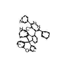 Cc1c(-c2cccnc2)nnc(-c2ccccc2)c1-c1cccc2c1-c1ccccc1C21c2ccccc2Oc2ccccc21